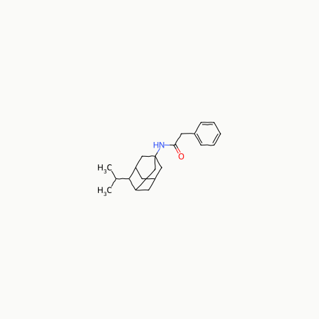 CC(C)C1C2CC3CC1CC(NC(=O)Cc1ccccc1)(C3)C2